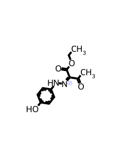 CCOC(=O)/C(=N\Nc1ccc(O)cc1)C(C)=O